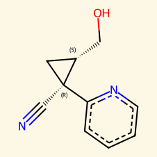 N#C[C@]1(c2ccccn2)C[C@@H]1CO